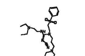 CCN(CC)CCCN(CCS(=O)(=O)c1ccccc1)/C(=N\C#N)NCCN(CC)CC